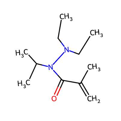 C=C(C)C(=O)N(C(C)C)N(CC)CC